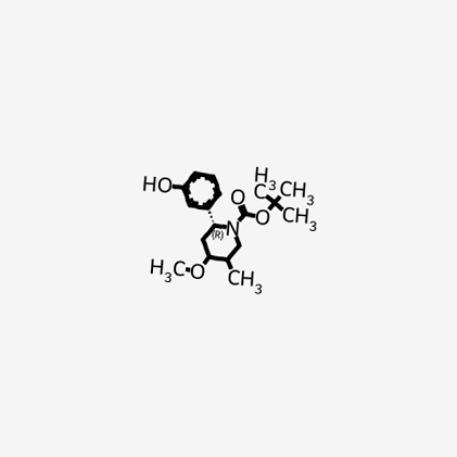 COC1C[C@H](c2cccc(O)c2)N(C(=O)OC(C)(C)C)CC1C